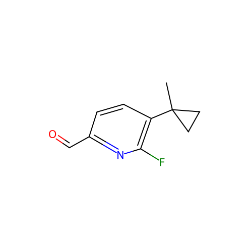 CC1(c2ccc(C=O)nc2F)CC1